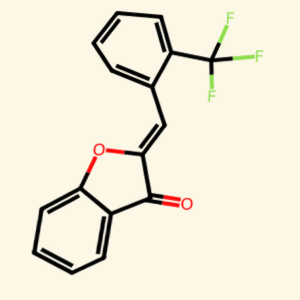 O=C1/C(=C/c2ccccc2C(F)(F)F)Oc2ccccc21